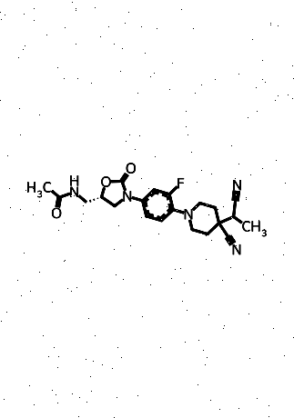 CC(=O)NC[C@H]1CN(c2ccc(N3CCC(C#N)(C(C)C#N)CC3)c(F)c2)C(=O)O1